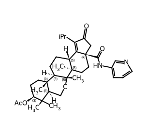 CC(=O)O[C@H]1CC[C@]2(C)[C@H]3CC[C@@H]4C5=C(C(C)C)C(=O)C[C@]5(C(=O)Nc5cccnc5)CC[C@@]4(C)[C@]3(C)CC[C@H]2C1(C)C